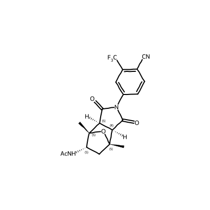 CC(=O)N[C@H]1C[C@]2(C)O[C@@]1(C)[C@H]1C(=O)N(c3ccc(C#N)c(C(F)(F)F)c3)C(=O)[C@H]12